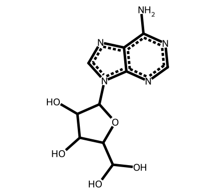 Nc1ncnc2c1ncn2C1OC(C(O)O)C(O)C1O